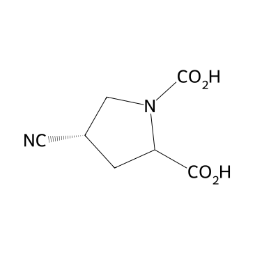 N#C[C@H]1CC(C(=O)O)N(C(=O)O)C1